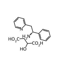 N[C@@H](Cc1ccccn1)c1ccccc1.O=C(O)CC(O)C(=O)O